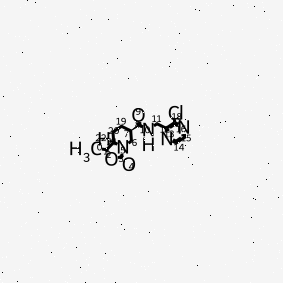 CC1OC(=O)N2C[C@H](C(=O)NCc3nccnc3Cl)CC[C@@H]12